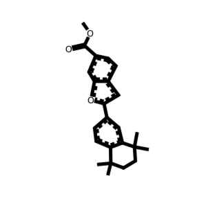 COC(=O)c1ccc2cc(-c3ccc4c(c3)C(C)(C)CCC4(C)C)oc2c1